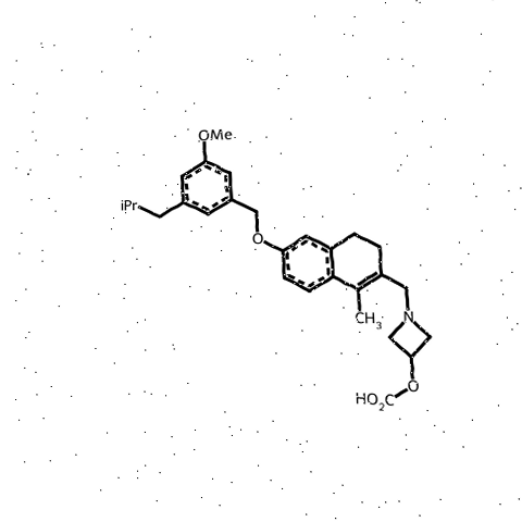 COc1cc(COc2ccc3c(c2)CCC(CN2CC(OC(=O)O)C2)=C3C)cc(CC(C)C)c1